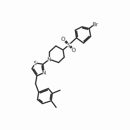 Cc1ccc(Cc2csc(N3CCC(S(=O)(=O)c4ccc(Br)cc4)CC3)n2)cc1C